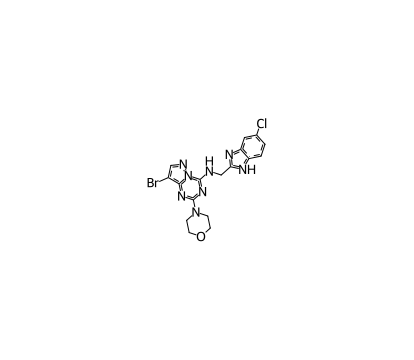 Clc1ccc2[nH]c(CNc3nc(N4CCOCC4)nc4c(Br)cnn34)nc2c1